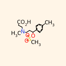 Cc1ccc(C(CCN(C)CCC(=O)O)OS(C)(=O)=O)cc1